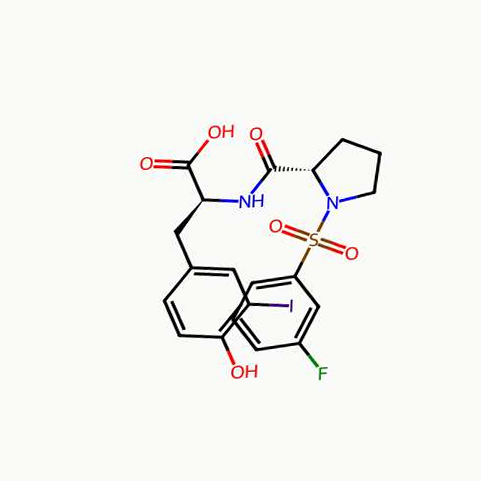 O=C(O)[C@H](Cc1ccc(O)c(I)c1)NC(=O)[C@@H]1CCCN1S(=O)(=O)c1cccc(F)c1